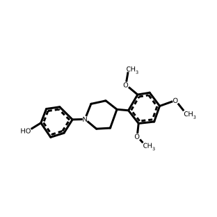 COc1cc(OC)c(C2CCN(c3ccc(O)cc3)CC2)c(OC)c1